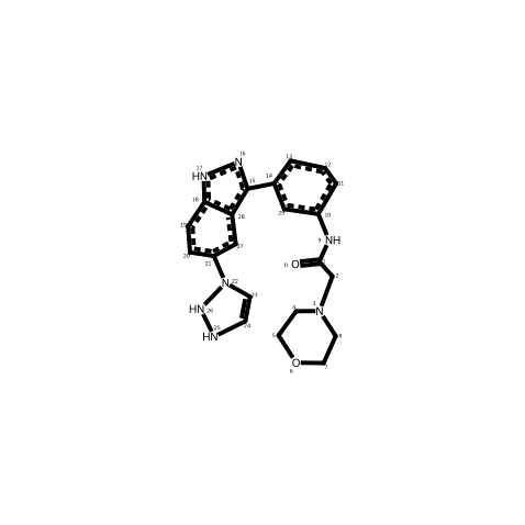 O=C(CN1CCOCC1)Nc1cccc(-c2n[nH]c3ccc(N4C=CNN4)cc23)c1